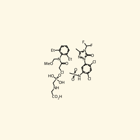 CCc1cccc(CC)c1N(COC)C(=O)CCl.Cc1nn(-c2cc(NS(C)(=O)=O)c(Cl)cc2Cl)c(=O)n1C(F)F.O=C(O)CNCP(=O)(O)O